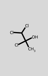 CC(O)(Cl)C(Cl)Cl